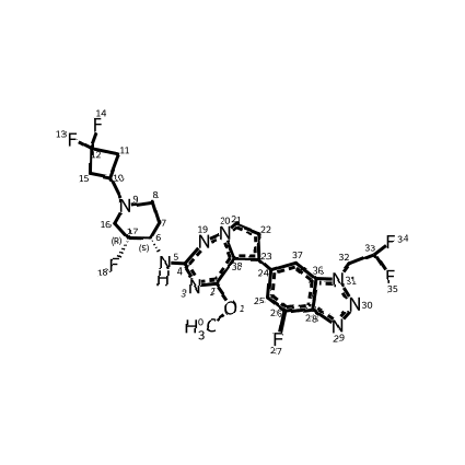 COc1nc(N[C@H]2CCN(C3CC(F)(F)C3)C[C@H]2F)nn2ccc(-c3cc(F)c4nnn(CC(F)F)c4c3)c12